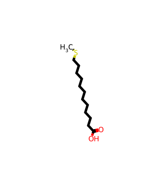 CSCCCCCCCCCCCC(=O)O